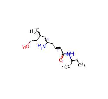 C=C(/C=C(\N)C/C=C/C(=O)NC(=C)CC)CCO